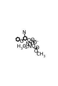 CCOC(=O)COc1nc(SC)nc(Oc2cc(C#N)cc(Oc3ccccc3)c2)c1[N+](=O)[O-]